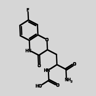 NC(=O)C(CC1Oc2cc(F)ccc2NC1=O)NC(=O)O